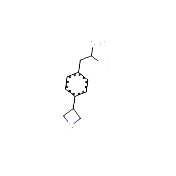 CC(=O)NC(C)Cc1ccc(C2CNC2)cc1